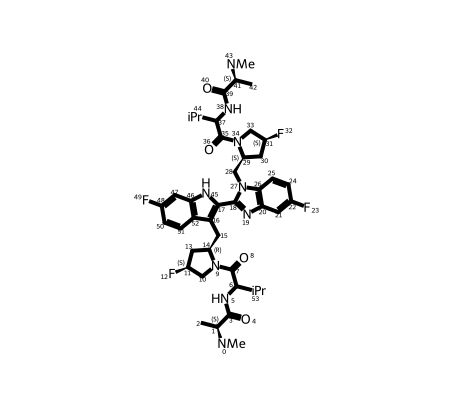 CN[C@@H](C)C(=O)NC(C(=O)N1C[C@@H](F)C[C@H]1Cc1c(-c2nc3cc(F)ccc3n2C[C@@H]2C[C@H](F)CN2C(=O)C(NC(=O)[C@H](C)NC)C(C)C)[nH]c2cc(F)ccc12)C(C)C